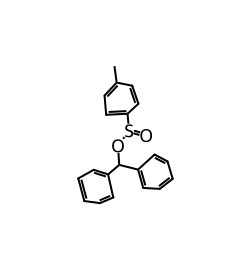 Cc1ccc(S(=O)OC(c2ccccc2)c2ccccc2)cc1